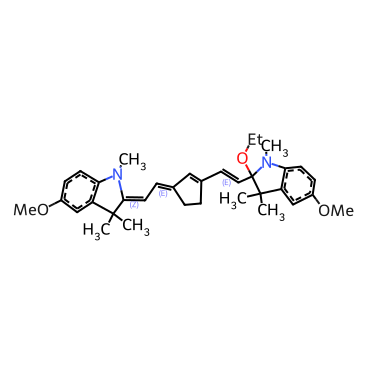 CCOC1(/C=C/C2=CC(=C/C=C3\N(C)c4ccc(OC)cc4C3(C)C)/CC2)N(C)c2ccc(OC)cc2C1(C)C